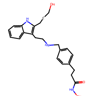 O=C(CCc1ccc(CNCCc2c(CCCO)[nH]c3ccccc23)cc1)NO